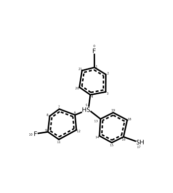 Fc1ccc([SH](c2ccc(F)cc2)c2ccc(S)cc2)cc1